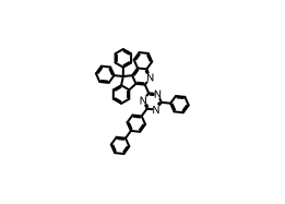 c1ccc(-c2ccc(-c3nc(-c4ccccc4)nc(-c4nc5ccccc5c5c4-c4ccccc4C5(c4ccccc4)c4ccccc4)n3)cc2)cc1